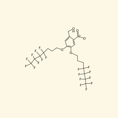 O=[N+]([O-])c1cc(OCCCC(F)(F)C(F)(F)C(F)(F)C(F)(F)F)c(OCCCC(F)(F)C(F)(F)C(F)(F)C(F)(F)F)cc1CO